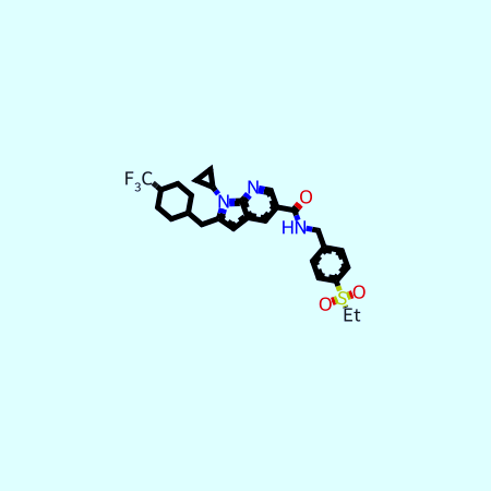 CCS(=O)(=O)c1ccc(CNC(=O)c2cnc3c(c2)cc(CC2CCC(C(F)(F)F)CC2)n3C2CC2)cc1